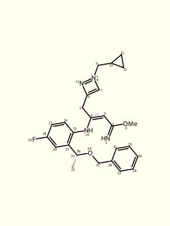 COC(=N)/C=C(/CC1=C[N+](CC2CC2)=N1)Nc1ccc(F)cc1[C@@H](C)OCc1ccccc1